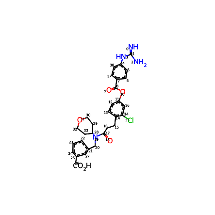 N=C(N)Nc1ccc(C(=O)Oc2ccc(CCC(=O)N(Cc3cccc(C(=O)O)c3)C3CCOCC3)c(Cl)c2)cc1